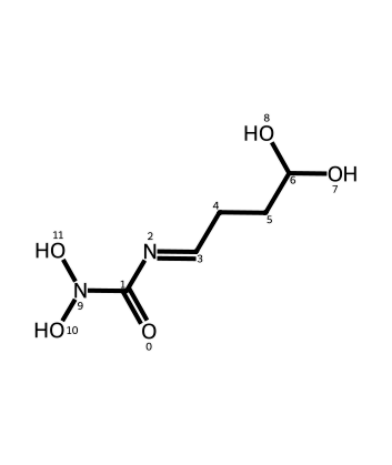 O=C(N=CCCC(O)O)N(O)O